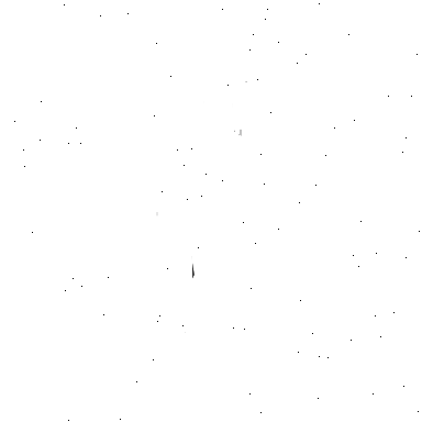 CC(C)(C)OC[C@@H](CO)CCCCNC(=O)C(C)(C)C